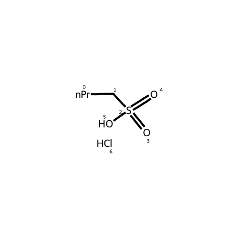 CCCCS(=O)(=O)O.Cl